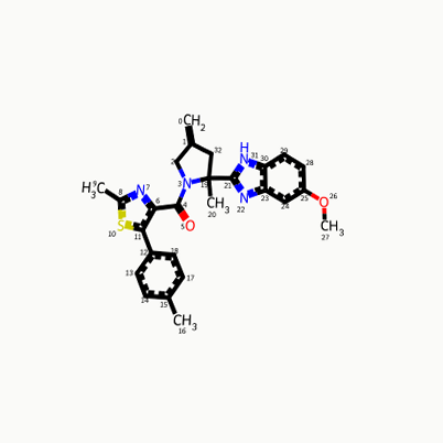 C=C1CN(C(=O)c2nc(C)sc2-c2ccc(C)cc2)C(C)(c2nc3cc(OC)ccc3[nH]2)C1